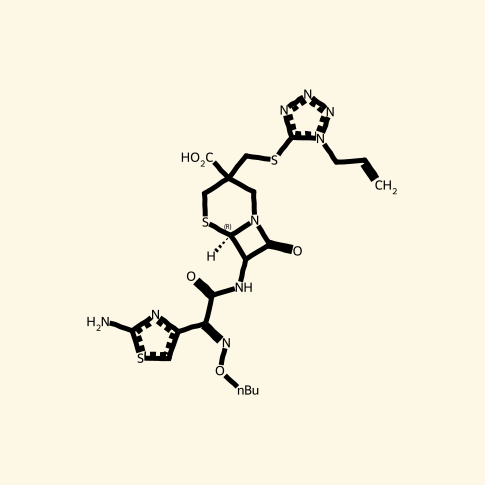 C=CCn1nnnc1SCC1(C(=O)O)CS[C@@H]2C(NC(=O)C(=NOCCCC)c3csc(N)n3)C(=O)N2C1